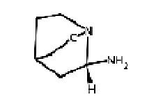 N[C@@H]1CC2CCN1CC2